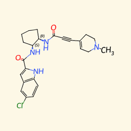 CN1CC=C(C#CC(=O)N[C@@H]2CCCC[C@@H]2NC(=O)c2cc3cc(Cl)ccc3[nH]2)CC1